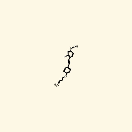 C=CCCOc1ccc(C#Cc2ccc(N=C=S)cc2F)cc1